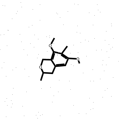 COc1cc2c(c(OC)c1C)COC(C)C2